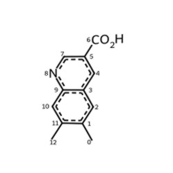 Cc1cc2cc(C(=O)O)cnc2cc1C